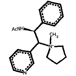 CC(=O)N[C@@H](c1ccccc1)C(c1cccnc1)[N+]1(C)CCCC1